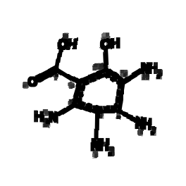 Nc1c(N)c(N)c(C(=O)O)c(O)c1N